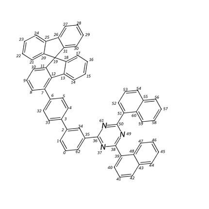 c1cc(-c2ccc(-c3cccc4c3-c3ccccc3C43c4ccccc4-c4ccccc43)cc2)cc(-c2nc(-c3cccc4ccccc34)nc(-c3cccc4ccccc34)n2)c1